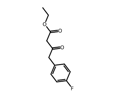 CCOC(=O)CC(=O)Cc1ccc(F)cc1